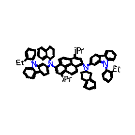 CCc1ccccc1-n1c2ccccc2c2ccc(N(c3cc(C(C)C)c4ccc5c(N(c6ccc7c8ccccc8n(-c8ccccc8CC)c7c6)C6CCCc7ccccc76)cc(C(C)C)c6ccc3c4c65)C3CCc4ccccc4C3)cc21